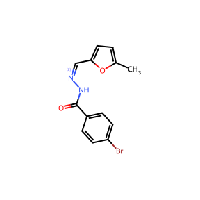 Cc1ccc(/C=N\NC(=O)c2ccc(Br)cc2)o1